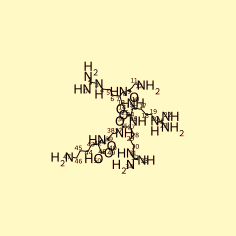 N=C(N)NCCCC(NC(=O)CN)C(=O)NC(CCCNC(=N)N)C(=O)NC(CCCNC(=N)N)C(=O)NCC(=O)NC(CCCCN)C(=O)O